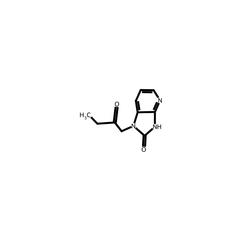 CCC(=O)Cn1c(=O)[nH]c2ncccc21